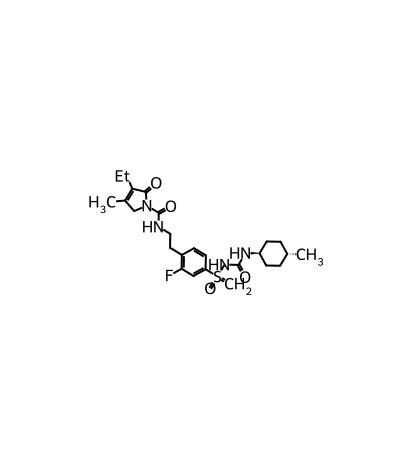 C=S(=O)(NC(=O)N[C@H]1CC[C@H](C)CC1)c1ccc(CCNC(=O)N2CC(C)=C(CC)C2=O)c(F)c1